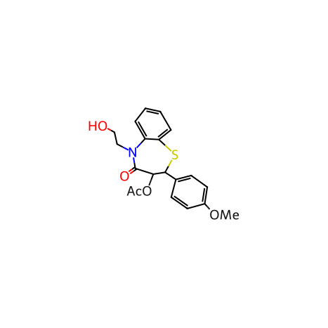 COc1ccc(C2Sc3ccccc3N(CCO)C(=O)C2OC(C)=O)cc1